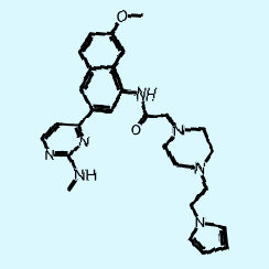 CNc1nccc(-c2cc(NC(=O)CN3CCN(CCn4cccc4)CC3)c3cc(OC)ccc3c2)n1